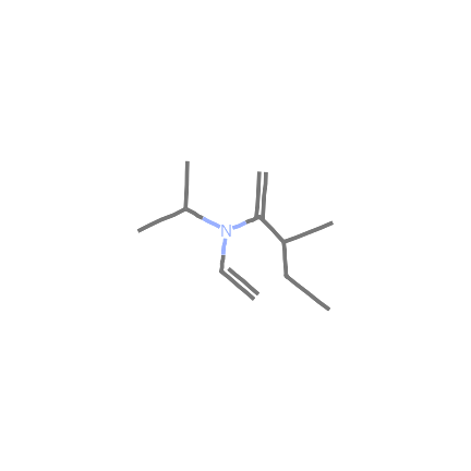 C=CN(C(=C)C(C)CC)C(C)C